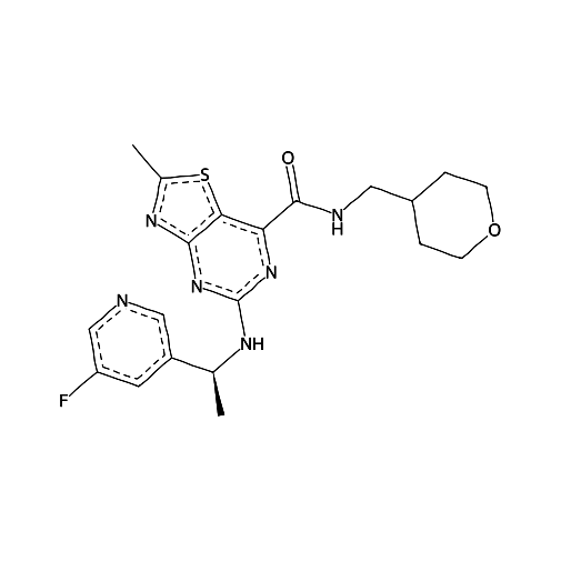 Cc1nc2nc(N[C@@H](C)c3cncc(F)c3)nc(C(=O)NCC3CCOCC3)c2s1